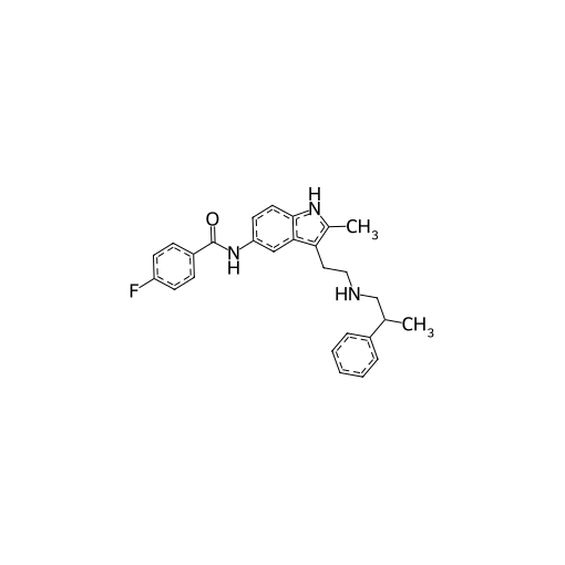 Cc1[nH]c2ccc(NC(=O)c3ccc(F)cc3)cc2c1CCNCC(C)c1ccccc1